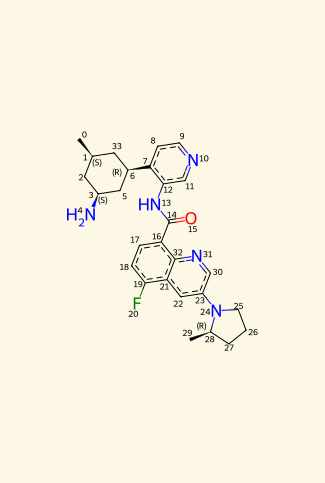 C[C@@H]1C[C@H](N)C[C@H](c2ccncc2NC(=O)c2ccc(F)c3cc(N4CCC[C@H]4C)cnc23)C1